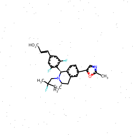 Cc1ncc(-c2ccc3c(c2)C[C@H](C)N(CC(C)(C)F)[C@H]3c2c(F)cc(/C=C/C(=O)O)cc2F)o1